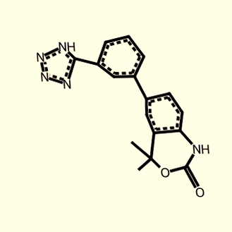 CC1(C)OC(=O)Nc2ccc(-c3cccc(-c4nnn[nH]4)c3)cc21